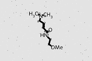 COCCNC(=O)/C=C/CN(C)C